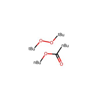 CC(C)(C)OOC(C)(C)C.CCCCOC(=O)CCCC